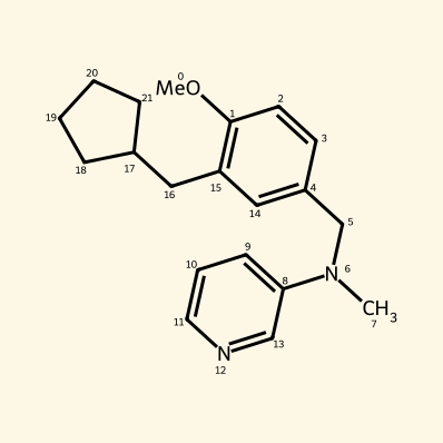 COc1ccc(CN(C)c2cccnc2)cc1CC1CCCC1